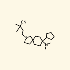 CN(C)C1(C2CCCC2)CCC2(CCN(CCC(C)(C)C#N)C2)CC1